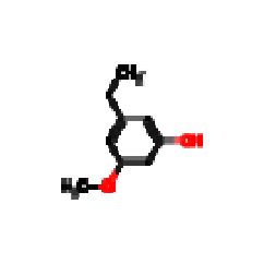 [CH2]Cc1cc(O)cc(OC)c1